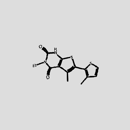 CCn1c(=O)[nH]c2sc(-c3sccc3C)c(C)c2c1=O